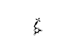 C[Si](C)(C)C#CCC1OC(=O)CC(=O)O1